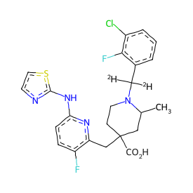 [2H]C([2H])(c1cccc(Cl)c1F)N1CCC(Cc2nc(Nc3nccs3)ccc2F)(C(=O)O)CC1C